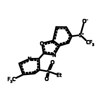 CCS(=O)(=O)c1cc(C(F)(F)F)cnc1-c1nc2cc([S+]([O-])C(F)(F)F)ccc2o1